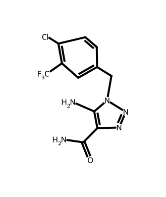 NC(=O)c1nnn(Cc2ccc(Cl)c(C(F)(F)F)c2)c1N